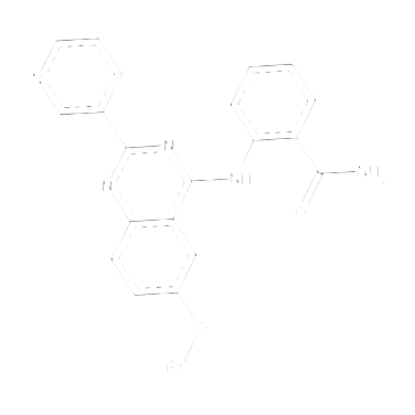 CC(C)Oc1ccc2nc(-c3cccnc3)nc(Nc3ccccc3C(N)=O)c2c1